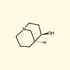 O[C@@H]1CCN2CCC[C@H]1C2